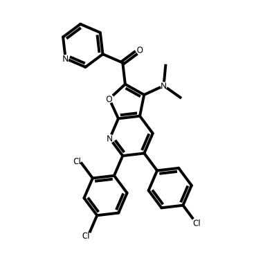 CN(C)c1c(C(=O)c2cccnc2)oc2nc(-c3ccc(Cl)cc3Cl)c(-c3ccc(Cl)cc3)cc12